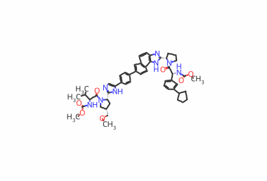 COC[C@H]1C[C@@H](c2ncc(-c3ccc(-c4ccc5c(ccc6nc([C@@H]7CCCN7C(=O)[C@H](NC(=O)OC)c7cccc(C8CCCC8)c7)[nH]c65)c4)cc3)[nH]2)N(C(=O)[C@@H](NC(=O)OC)C(C)C)C1